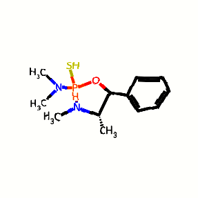 C[C@H]1C(c2ccccc2)O[PH](S)(N(C)C)N1C